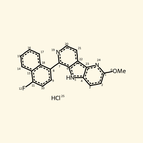 COc1ccc2[nH]c3c(-c4ccc(F)c5ccccc45)nccc3c2n1.Cl